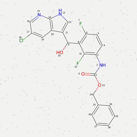 O=C(Nc1ccc(F)c(C(O)c2c[nH]c3ncc(Cl)cc23)c1F)OCc1ccccc1